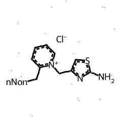 CCCCCCCCCCc1cccc[n+]1Cc1csc(N)n1.[Cl-]